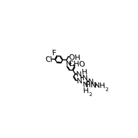 C/C=C(\C=C/N(C=O)C(CO)c1ccc(Cl)c(F)c1)c1ccnc(N/C(N)=N/NN)n1